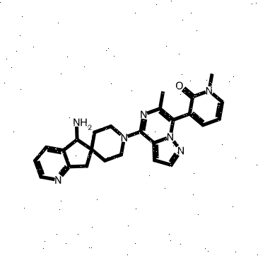 Cc1nc(N2CCC3(CC2)Cc2ncccc2C3N)c2ccnn2c1-c1cccn(C)c1=O